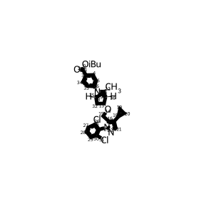 CC(C)COC(=O)c1ccc(N2[C@H]3C[C@@H]([C@H]2C)[C@H](OCc2c(C4CC4)cnn2-c2c(Cl)cccc2Cl)C3)cc1